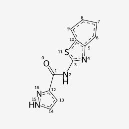 O=C(Nc1nc2ccccc2s1)c1cc[nH]n1